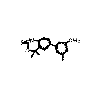 COc1cc(F)cc(-c2ccc3c(c2)C(C)(C)OC(=S)N3)c1